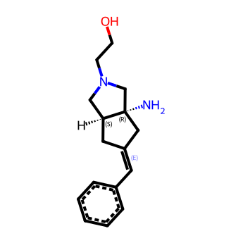 N[C@]12C/C(=C/c3ccccc3)C[C@H]1CN(CCO)C2